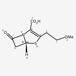 COCCC1=C(C(=O)O)N2C(=O)C[C@H]2S1